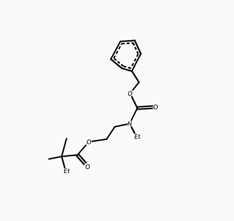 CCN(CCOC(=O)C(C)(C)CC)C(=O)OCc1ccccc1